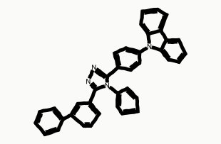 c1ccc(-c2cccc(-c3nnc(-c4ccc(-n5c6ccccc6c6ccccc65)cc4)n3-c3ccccc3)c2)cc1